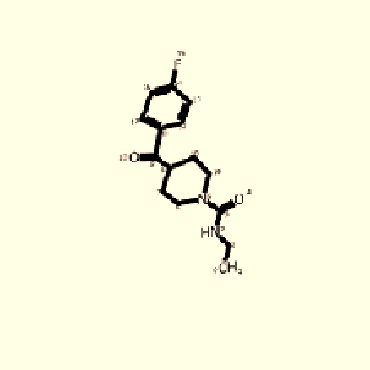 CCNC(=O)N1CCC(C(=O)c2ccc(F)cc2)CC1